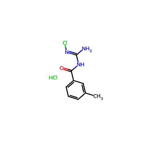 Cc1cccc(C(=O)NC(N)=NCl)c1.Cl